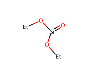 CCO[Si](=O)OCC